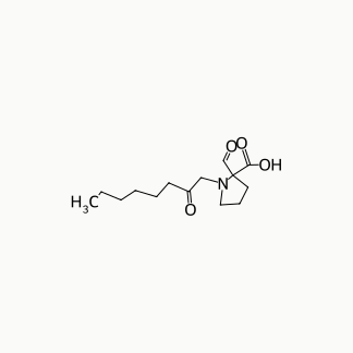 CCCCCCC(=O)CN1CCCC1(C=O)C(=O)O